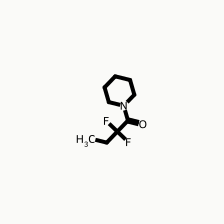 CCC(F)(F)C(=O)N1CCCCC1